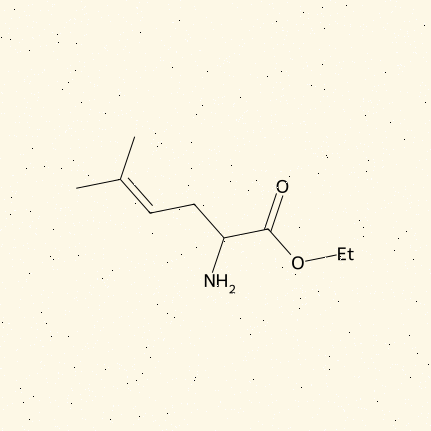 CCOC(=O)C(N)CC=C(C)C